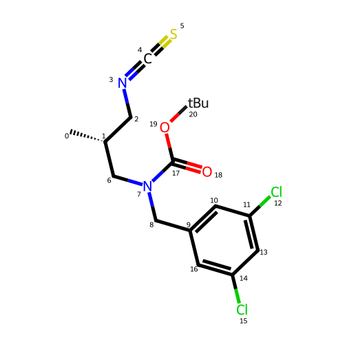 C[C@H](CN=C=S)CN(Cc1cc(Cl)cc(Cl)c1)C(=O)OC(C)(C)C